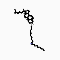 CCCCCCCC/C=C\CCCCCCCCOC1CC[C@@]2(C)C(=CCC3C2CC[C@@]2(C)C3CC[C@@H]2[C@H](C)CCCC(C)C)C1